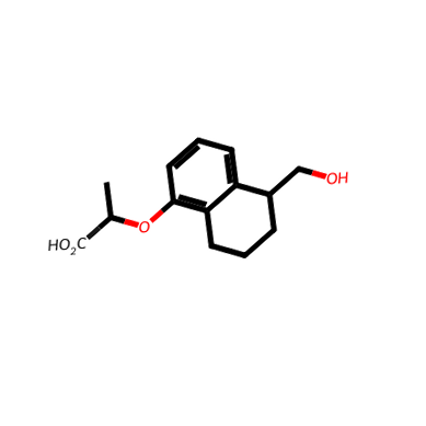 CC(Oc1cccc2c1CCCC2CO)C(=O)O